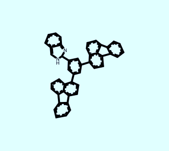 C1=c2ccccc2=NC(c2cc(-c3ccc4c5c(cccc35)-c3ccccc3-4)cc(-c3ccc4c5c(cccc35)-c3ccccc3-4)c2)N1